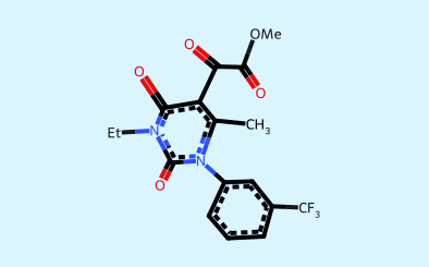 CCn1c(=O)c(C(=O)C(=O)OC)c(C)n(-c2cccc(C(F)(F)F)c2)c1=O